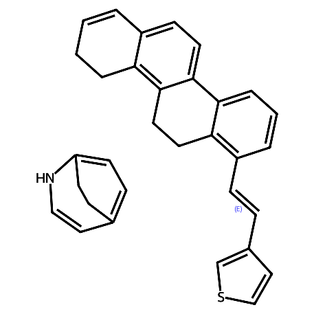 C1=CC2=CC=C(CC2)N1.C1=Cc2ccc3c(c2CC1)CCc1c(/C=C/c2ccsc2)cccc1-3